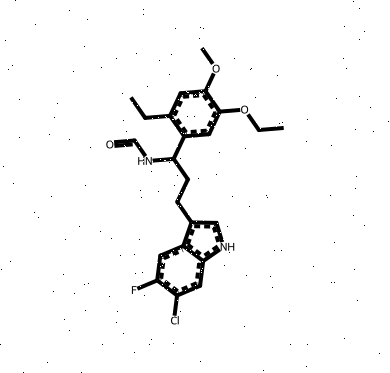 CCOc1cc(C(CCc2c[nH]c3cc(Cl)c(F)cc23)NC=O)c(CC)cc1OC